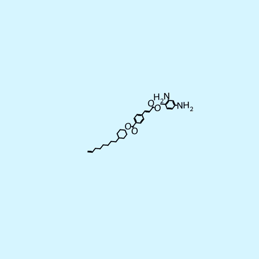 C=CCCCCCCC1CCC(OC(=O)c2ccc(/C=C/C(=O)OCc3ccc(N)cc3N)cc2)CC1